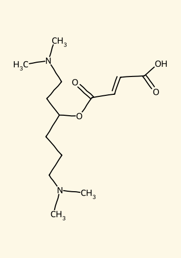 CN(C)CCCC(CCN(C)C)OC(=O)C=CC(=O)O